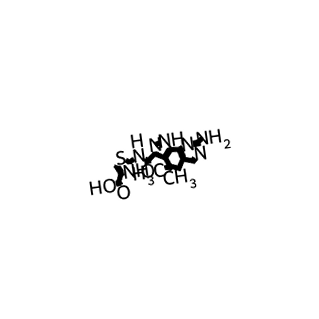 CC1(C)Cc2cnc(N)nc2-c2[nH]nc(C(=O)NC3NC(C(=O)O)=CS3)c21